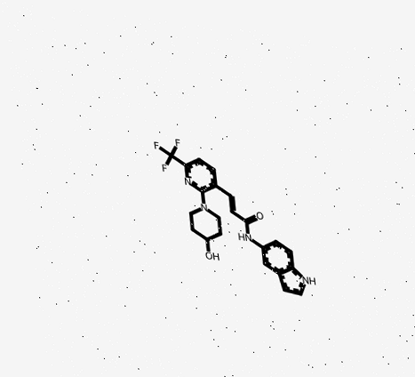 O=C(/C=C/c1ccc(C(F)(F)F)nc1N1CCC(O)CC1)Nc1ccc2[nH]ccc2c1